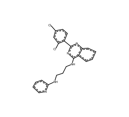 Clc1ccc(-c2nc(NCCCNc3ccccn3)c3ccccc3n2)c(Cl)c1